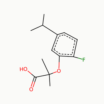 CC(C)c1ccc(F)c(OC(C)(C)C(=O)O)c1